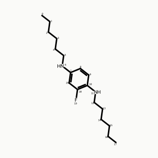 CCCCCCNc1ccc(NCCCCCC)c(F)c1